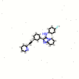 Fc1ccc(Nc2c(-c3cccc(C#Cc4ccccn4)c3)nc3ccccn23)cc1